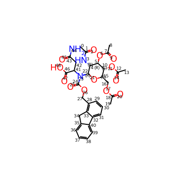 CC(=O)N[C@@H]1[C@@H](OC(C)=O)[C@H](OC(C)=O)[C@@H](COC(C)=O)O[C@H]1N(C(=O)OCc1cccc2c1Cc1ccccc1-2)C(CC(N)=O)C(=O)O